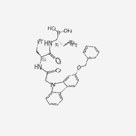 CC(C)C[C@H](NC(=O)[C@H](CC(C)C)NC(=O)Cn1c2ccccc2c2ccc(OCc3ccccc3)cc21)B(O)O